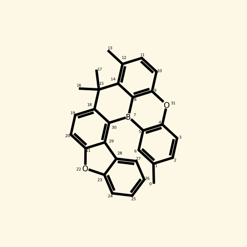 Cc1ccc2c(c1)B1c3c(ccc(C)c3C(C)(C)c3ccc4oc5ccccc5c4c31)O2